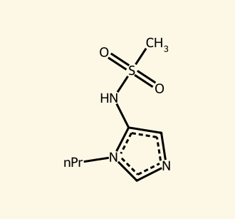 CCCn1cncc1NS(C)(=O)=O